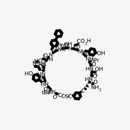 CCC[C@@H]1NC(=O)[C@H](Cc2ccc(-c3ccccc3)cc2)NC(=O)[C@H]([C@@H](C)O)CC(=O)[C@H](Cc2cnc[nH]2)NC(=O)[C@H](Cc2ccc(O)cc2)NC(=O)[C@H](C(C)(C)C)NC(=O)CCSCc2cccc(c2)CSC[C@@H](C(N)=O)NC(=O)[C@H]([C@@H](C)O)NC(=O)[C@H](CCC)NC(=O)[C@H](Cc2ccc(O)cc2)NC(=O)[C@H](CCC(=O)O)NC1=O